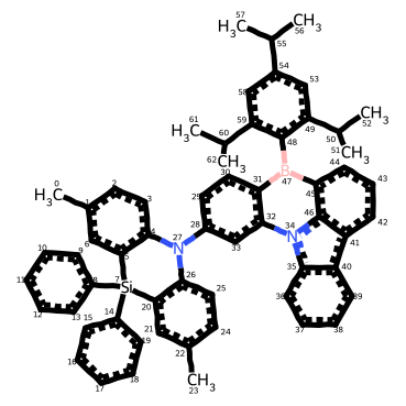 Cc1ccc2c(c1)[Si](c1ccccc1)(c1ccccc1)c1cc(C)ccc1N2c1ccc2c(c1)-n1c3ccccc3c3cccc(c31)B2c1c(C(C)C)cc(C(C)C)cc1C(C)C